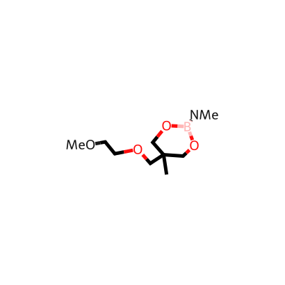 CNB1OCC(C)(COCCOC)CO1